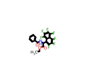 CCOC(=O)C(NC(=O)c1ccccc1)c1c(F)c(F)c(F)c2c(F)c(F)c(F)c(F)c12